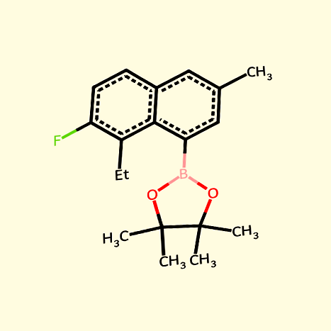 CCc1c(F)ccc2cc(C)cc(B3OC(C)(C)C(C)(C)O3)c12